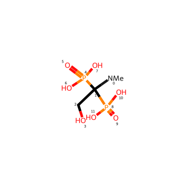 CNC(CO)(P(=O)(O)O)P(=O)(O)O